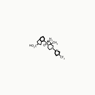 CC1(C)CN(c2ccc(C(F)(F)F)cn2)CCN1S(=O)(=O)c1cccc2c1CC(C(=O)O)C2